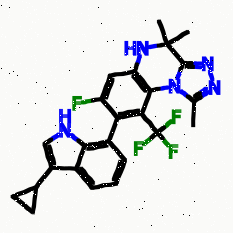 Cc1nnc2n1-c1c(cc(F)c(-c3cccc4c(C5CC5)c[nH]c34)c1C(F)(F)F)NC2(C)C